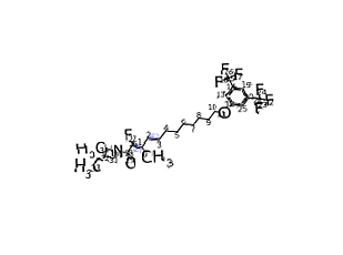 CC(/C=C/CCCCCCCOc1cc(C(F)(F)F)cc(C(F)(F)F)c1)=C(/F)C(=O)NCC(C)C